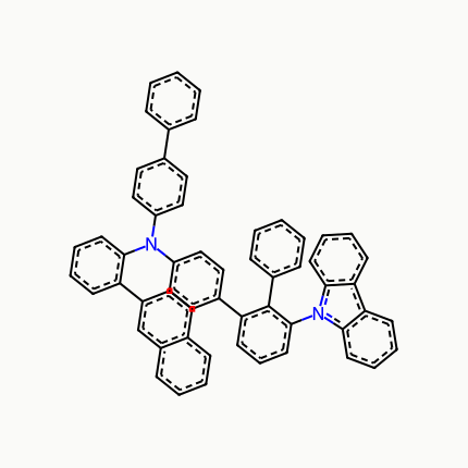 c1ccc(-c2ccc(N(c3ccc(-c4cccc(-n5c6ccccc6c6ccccc65)c4-c4ccccc4)cc3)c3ccccc3-c3ccc4ccccc4c3)cc2)cc1